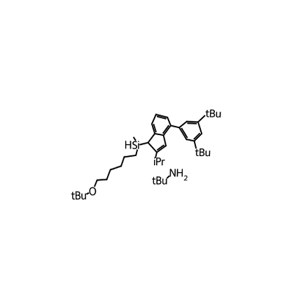 CC(C)(C)N.CC(C)C1=Cc2c(-c3cc(C(C)(C)C)cc(C(C)(C)C)c3)cccc2C1[SiH](C)CCCCCCOC(C)(C)C